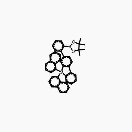 CC1(C)OB(c2ccccc2-c2ccc3c(c2)[Si](c2cccc4ccccc24)(c2cccc4ccccc24)c2ccccc2-3)OC1(C)C